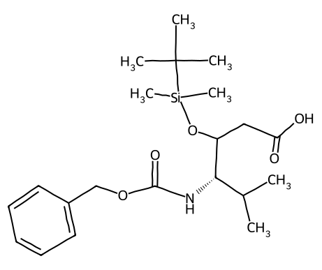 CC(C)[C@H](NC(=O)OCc1ccccc1)C(CC(=O)O)O[Si](C)(C)C(C)(C)C